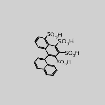 O=S(=O)(O)c1c(S(=O)(=O)O)c(S(=O)(=O)O)c2c(S(=O)(=O)O)cccc2c1-c1cccc2ccccc12